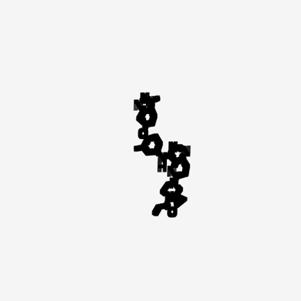 C=CC(=O)N1CCN(c2ccc3ncnc(Nc4ccc(Oc5ccc6c(c5)nnn6C)c(C)c4)c3n2)CC12CC2